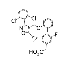 O=C(O)Cc1ccc(-c2ccccc2OCc2c(-c3c(Cl)cccc3Cl)noc2C2CC2)c(F)c1